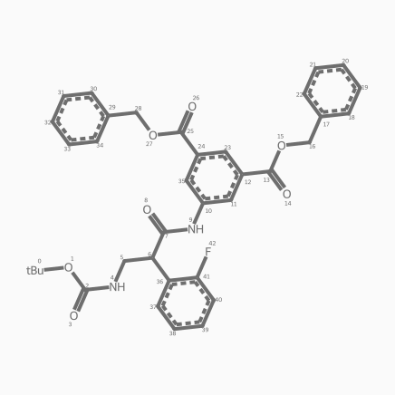 CC(C)(C)OC(=O)NCC(C(=O)Nc1cc(C(=O)OCc2ccccc2)cc(C(=O)OCc2ccccc2)c1)c1ccccc1F